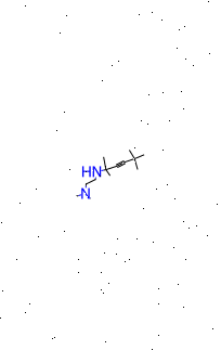 CN(C)CCNC(C)(C)C#CC(C)(C)C